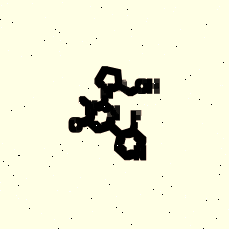 Cn1c(N2CCC[C@H]2CO)nc(-c2ccncc2F)cc1=O